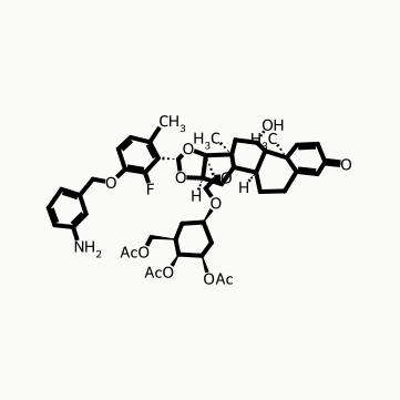 CC(=O)OC[C@H]1C[C@@H](OCC(=O)[C@@]23O[C@@H](c4c(C)ccc(OCc5cccc(N)c5)c4F)O[C@@H]2CC2[C@@H]4CCC5=CC(=O)C=C[C@]5(C)C4[C@@H](O)C[C@@]23C)C[C@@H](OC(C)=O)[C@H]1OC(C)=O